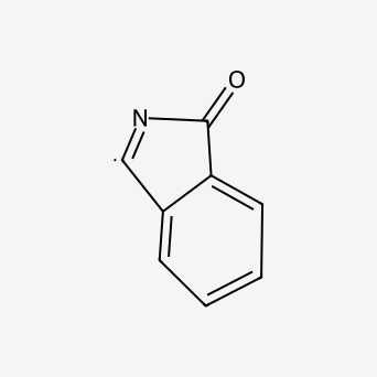 O=C1N=[C]c2ccccc21